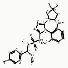 COc1cccc(OC)c1-n1c(NS(=O)(=O)[C@@H](C)[C@@H](OC(C)C)c2ncc(C)cn2)nnc1[C@H]1CCC(C)(C)O1